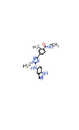 CCNC(=O)c1ccc(-c2nc(Nc3ccc4[nH]ncc4c3)n(C)n2)cc1C